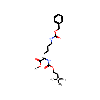 CC(C)(C)OC(=O)[C@H](CCCCNC(=O)OCc1ccccc1)NC(=O)OCC[Si](C)(C)C